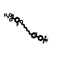 COC(=O)c1ccc(OCCCCCCCc2ccc(-c3ccc(C(F)(F)F)cc3)nc2)c(F)c1